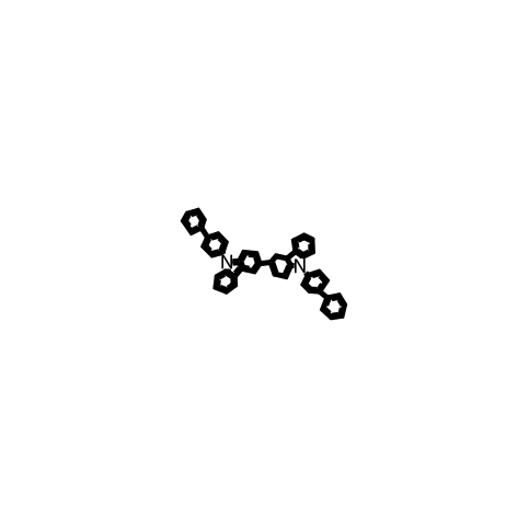 C1=C(c2ccc3c(c2)c2ccccc2n3-c2ccc(-c3ccccc3)cc2)CC2C(=C1)N(c1ccc(-c3ccccc3)cc1)c1ccccc12